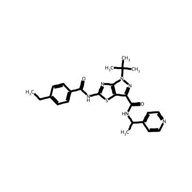 CCc1ccc(C(=O)Nc2nc3c(s2)c(C(=O)NC(C)c2ccncc2)nn3C(C)(C)C)cc1